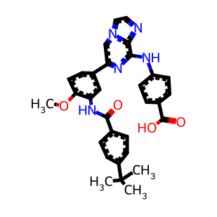 COc1ccc(-c2cn3ccnc3c(Nc3ccc(C(=O)O)cc3)n2)cc1NC(=O)c1ccc(C(C)(C)C)cc1